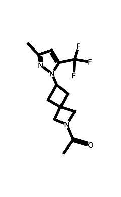 CC(=O)N1CC2(CC(n3nc(C)cc3C(F)(F)F)C2)C1